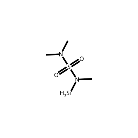 CN(C)S(=O)(=O)N(C)[SiH3]